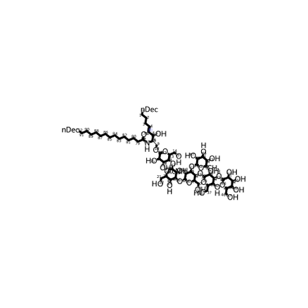 CCCCCCCCCCCCC/C=C/[C@@H](O)[C@H](CO[C@@H]1OC(CO)[C@@H](O[C@@H]2OC(CO)[C@H](O)[C@H](O[C@@H]3OC(CO)[C@@H](O[C@@H]4OC(CO)[C@H](O)[C@H](O[C@H]5OC(CO)[C@H](O)[C@H](O)C5O)C4O)[C@H](O[C@H]4OC(C)[C@@H](O)C(O)[C@@H]4O)C3NC(C)=O)C2O)[C@H](O)C1O)NC(=O)CCCCCCCCCCCCCCCCCCCCCCC